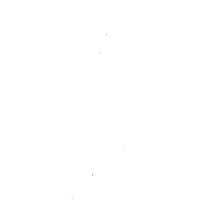 COCCNCc1ccc(-c2cc3nccc(Cc4ccc(NC(=O)Nc5ccccc5F)cc4F)c3s2)nc1